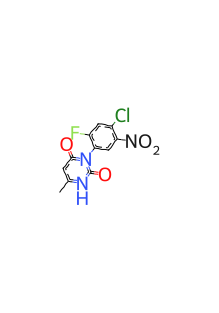 Cc1cc(=O)n(-c2cc([N+](=O)[O-])c(Cl)cc2F)c(=O)[nH]1